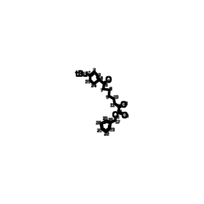 CC(C)(C)C1=CC=C(C(=O)CCCCCC(=O)C(=O)OCc2ccccc2)CC1